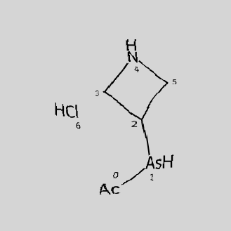 CC(=O)[AsH]C1CNC1.Cl